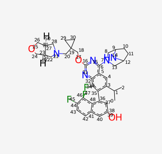 CC(C)c1cc2c(N3CC4CCC(C3)N4)nc(OCC3(CN4C[C@H]5COC[C@H]5C4)CC3)nc2c(F)c1-c1cc(O)cc2ccc(F)c(F)c12